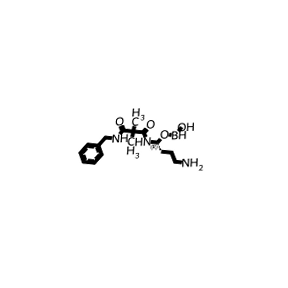 CC(C)(C(=O)NCc1ccccc1)C(=O)N[C@@H](CCCN)OBO